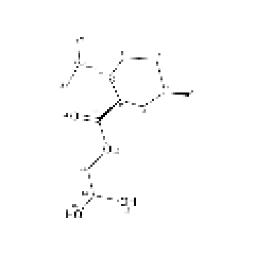 CC(C)[C@@H]1CC[C@@H](C)C[C@H]1C(=O)OCC(O)O